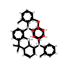 CC1=CC=C=C=C1P(c1cccc2c1OC1C(P(c3ccccc3)c3ccccc3C)=CC=CC1C2(C)C)c1c(C)cccc1C